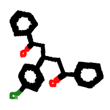 O=C(CC(CC(=O)c1ccccc1)c1ccc(Cl)cc1)c1ccccc1